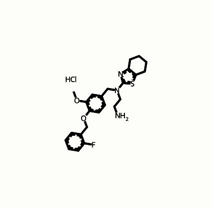 COc1cc(CN(CCN)c2nc3c(s2)CCCC3)ccc1OCc1ccccc1F.Cl